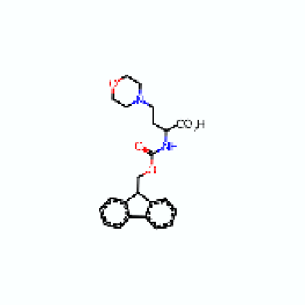 O=C(NC(CCN1CCOCC1)C(=O)O)OCC1c2ccccc2-c2ccccc21